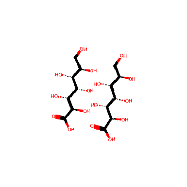 O=C(O)[C@H](O)[C@H](O)[C@@H](O)[C@H](O)[C@H](O)CO.O=C(O)[C@H](O)[C@H](O)[C@@H](O)[C@H](O)[C@H](O)CO